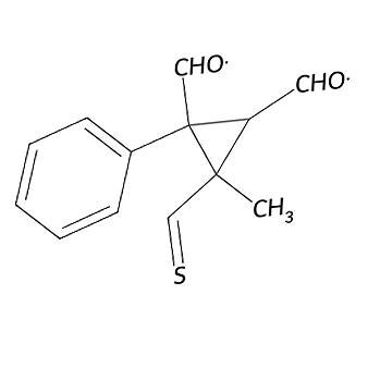 CC1(C=S)C([C]=O)C1([C]=O)c1ccccc1